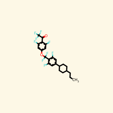 CCCC1CCC(c2cc(F)c(C(F)(F)Oc3cc(F)c(C(=O)C(F)(F)F)c(F)c3)c(F)c2)CC1